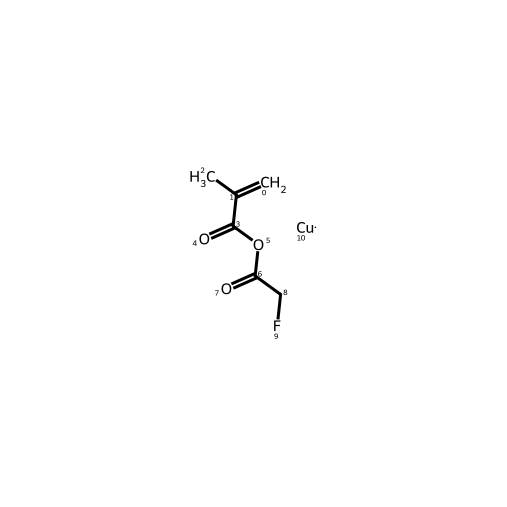 C=C(C)C(=O)OC(=O)CF.[Cu]